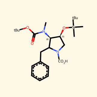 CN(C(=O)OC(C)(C)C)[C@@H]1C(Cc2ccccc2)N(C(=O)O)C[C@@H]1O[Si](C)(C)C(C)(C)C